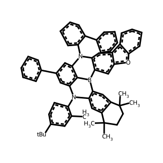 Cc1cc(C(C)(C)C)ccc1N1c2cc3c(cc2B2c4cc5oc6ccccc6c5cc4N(c4ccccc4-c4ccccc4)c4cc(-c5ccccc5)cc1c42)C(C)(C)CCC3(C)C